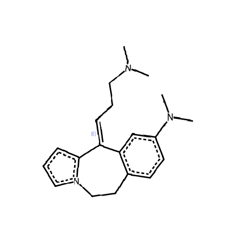 CN(C)CC/C=C1\c2cc(N(C)C)ccc2CCn2cccc21